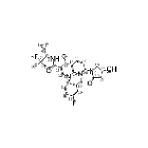 O=C(NC(C1CC1)C(F)(F)F)c1cn(-c2ccc(F)cc2F)c2nc(N3CC(O)CC3=O)ccc2c1=O